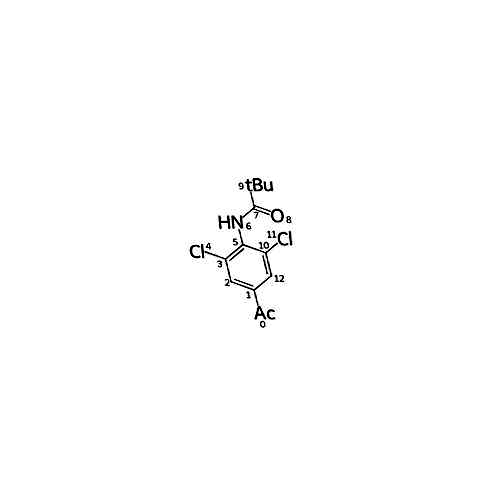 CC(=O)c1cc(Cl)c(NC(=O)C(C)(C)C)c(Cl)c1